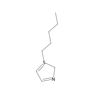 CCCCCS1=CC=NC1